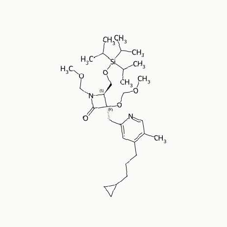 COCO[C@@]1(Cc2cc(CCCC3CC3)c(C)cn2)C(=O)N(COC)[C@H]1CO[Si](C(C)C)(C(C)C)C(C)C